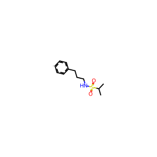 CC(C)S(=O)(=O)NCCCc1cc[c]cc1